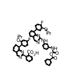 CC(C)Oc1cc(-c2cccc3cnc(Nc4cccc(NC(=O)OC(=O)c5ccccc5)c4)nc23)ccc1F.CC(C)Oc1cc(F)ccc1-c1cccc2cnc(-c3ccccc3C(=O)O)nc12